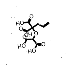 C=CCC(OC(C(=O)O)C(=O)O)(C(=O)O)C(=O)O